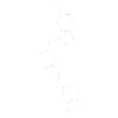 COc1cc(/C=C/C(=O)NC(Cc2c[nH]c3ccc(O)cc23)C(=O)O)ccc1O